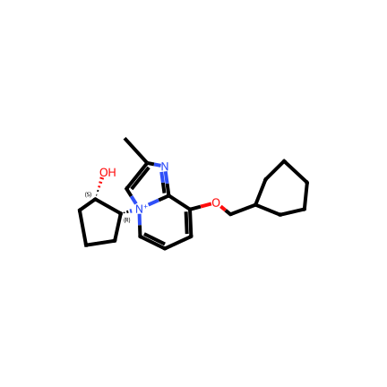 CC1=C[N+]2([C@@H]3CCC[C@@H]3O)C=CC=C(OCC3CCCCC3)C2=N1